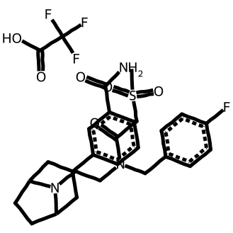 CS(=O)(=O)CC(=O)N(CCN1C2CCC1CC(c1cccc(C(N)=O)c1)C2)Cc1ccc(F)cc1.O=C(O)C(F)(F)F